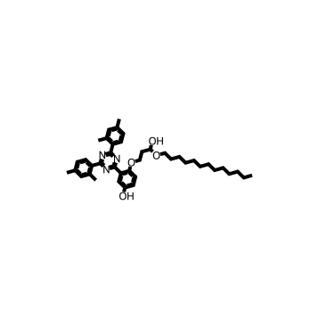 CCCCCCCCCCCCCOC(O)CCOc1ccc(O)cc1-c1nc(-c2ccc(C)cc2C)nc(-c2ccc(C)cc2C)n1